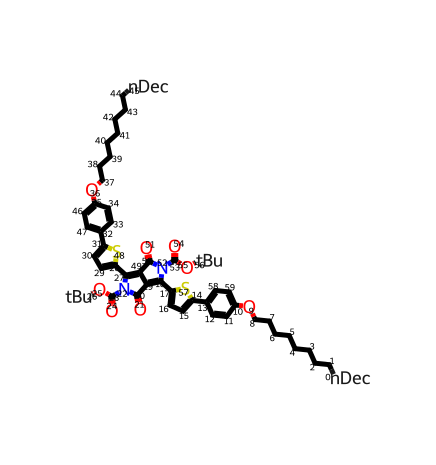 CCCCCCCCCCCCCCCCCCOc1ccc(-c2ccc(C3=C4C(=O)N(C(=O)OC(C)(C)C)C(c5ccc(-c6ccc(OCCCCCCCCCCCCCCCCCC)cc6)s5)=C4C(=O)N3C(=O)OC(C)(C)C)s2)cc1